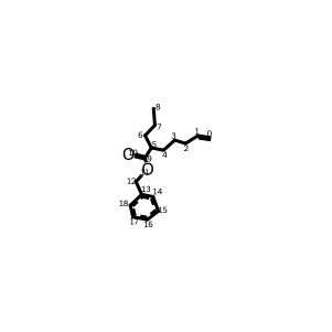 C=CCCCC(CCC)C(=O)OCc1ccccc1